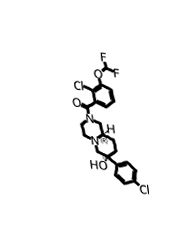 O=C(c1cccc(OC(F)F)c1Cl)N1CCN2C[C@](O)(c3ccc(Cl)cc3)CC[C@@H]2C1